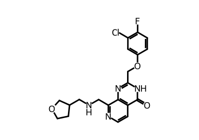 O=c1[nH]c(COc2ccc(F)c(Cl)c2)nc2c(CNCC3CCOC3)nccc12